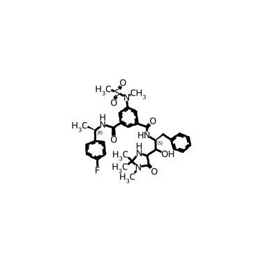 C[C@@H](NC(=O)c1cc(C(=O)N[C@@H](Cc2ccccc2)C(O)C2NC(C)(C)N(C)C2=O)cc(N(C)S(C)(=O)=O)c1)c1ccc(F)cc1